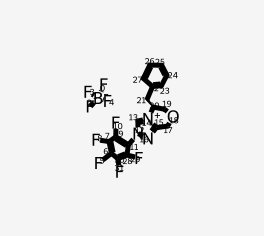 F[B-](F)(F)F.Fc1c(F)c(F)c(-n2c[n+]3c(n2)COC[C@@H]3Cc2ccccc2)c(F)c1F